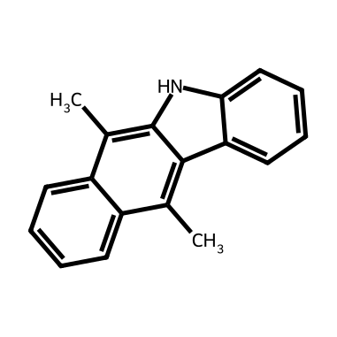 Cc1c2ccccc2c(C)c2c1[nH]c1ccccc12